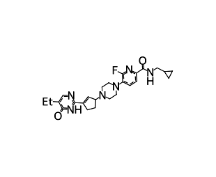 CCc1cnc(C2=CC(N3CCN(c4ccc(C(=O)NCC5CC5)nc4F)CC3)CC2)[nH]c1=O